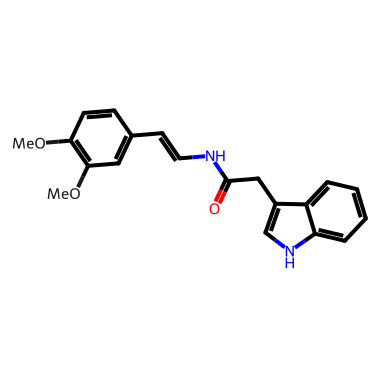 COc1ccc(C=CNC(=O)Cc2c[nH]c3ccccc23)cc1OC